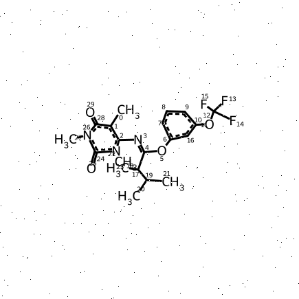 Cc1c(/N=C(/Oc2cccc(OC(F)(F)F)c2)C(C)C(C)C)n(C)c(=O)n(C)c1=O